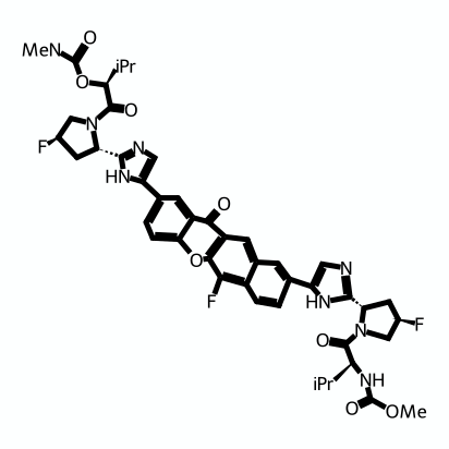 CNC(=O)O[C@H](C(=O)N1C[C@H](F)C[C@H]1c1ncc(-c2ccc3oc4c(F)c5ccc(-c6cnc([C@@H]7C[C@@H](F)CN7C(=O)[C@@H](NC(=O)OC)C(C)C)[nH]6)cc5cc4c(=O)c3c2)[nH]1)C(C)C